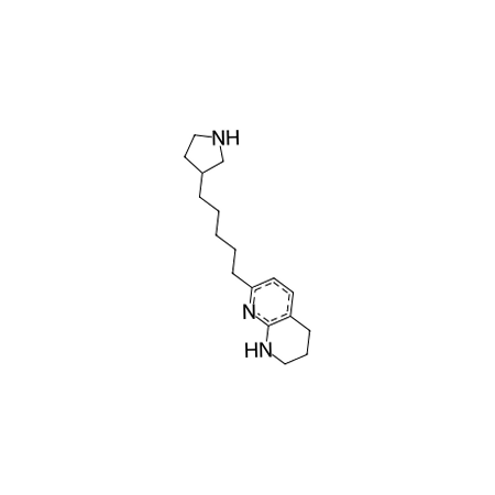 c1cc2c(nc1CCCCCC1CCNC1)NCCC2